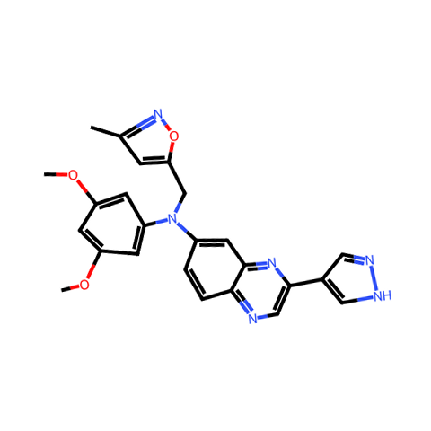 COc1cc(OC)cc(N(Cc2cc(C)no2)c2ccc3ncc(-c4cn[nH]c4)nc3c2)c1